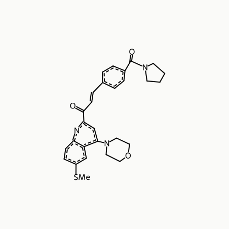 CSc1ccc2nc(C(=O)C=Cc3ccc(C(=O)N4CCCC4)cc3)cc(N3CCOCC3)c2c1